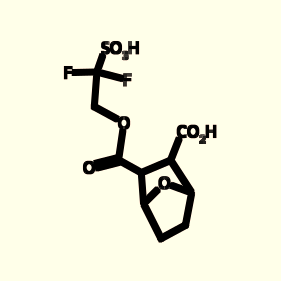 O=C(O)C1C2CCC(O2)C1C(=O)OCC(F)(F)S(=O)(=O)O